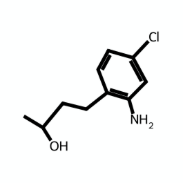 CC(O)CCc1ccc(Cl)cc1N